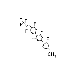 CCc1ccc(-c2cc(F)c(-c3cc(F)c(/C=C/C(F)(F)F)c(F)c3)c(F)c2)c(F)c1